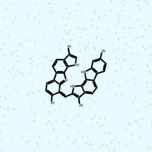 CC(C)c1ccc2c(c1)[nH]c1c2ccc2c(C(C)C)c(/C=c3/c(C(C)C)ccc4c3=Nc3c-4ccc4c(C(C)C)c[nH]c34)[nH]c21